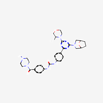 CC(C)N1CCN(C(=O)c2ccc(NC(=O)Nc3ccc(-c4nc(N5CC6CCC(C5)O6)nc(N5CCOCC5C)n4)cc3)cc2)CC1